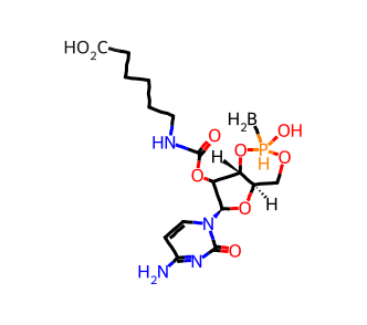 B[PH]1(O)OC[C@H]2O[C@@H](n3ccc(N)nc3=O)C(OC(=O)NCCCCCC(=O)O)[C@@H]2O1